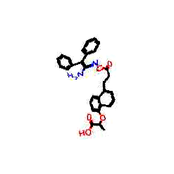 CC(Oc1cccc2c1CCCC2CCC(=O)O/N=C(\N)C(c1ccccc1)c1ccccc1)C(=O)O